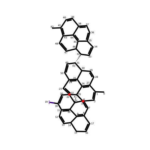 CC1=CC[C@@]2(C34C=CC5=C6C3=C(C=CC6CC=C5)C(I)=CC4)C=CC3=C4C2=C1C=CC4[C@@H](C1C=Cc2ccc4ccc(C)c5c4c2C1C=C5)C=C3